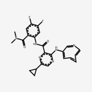 CN(C)C(=O)c1cc(F)c(F)cc1NC(=O)c1nc(C2CC2)cnc1NC1=C/C=C/C=C/N=C\1